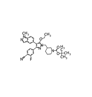 CCOc1c(-c2ccc3c(cnn3C)c2)c(-c2ccc(C#N)c(F)c2)nn1CC1CCCN(C(=O)OC(C)(C)C)C1